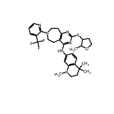 CC1OCCC1Sc1nc2c(c(Nc3ccc4c(c3)N(C)CCC4(C)C)n1)CCN(c1ncccc1C(F)(F)F)CC2